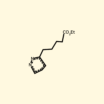 CCOC(=O)CCCCc1cccnn1